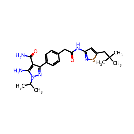 CC(C)n1nc(-c2ccc(CC(=O)Nc3cc(CC(C)(C)C)sn3)cc2)c(C(N)=O)c1N